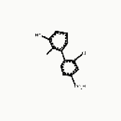 Cc1c(C#N)cccc1-c1ccc(C(=O)O)cc1Cl